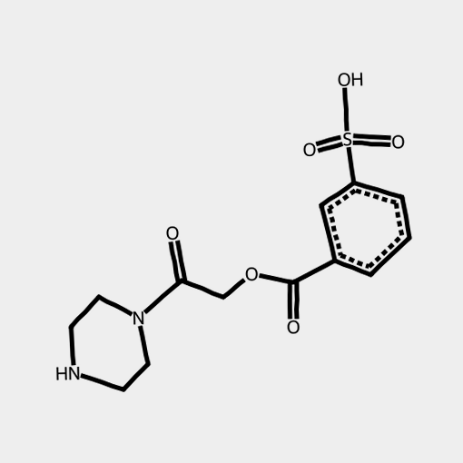 O=C(OCC(=O)N1CCNCC1)c1cccc(S(=O)(=O)O)c1